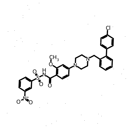 COc1cc(N2CCN(Cc3ccccc3-c3ccc(Cl)cc3)CC2)ccc1C(=O)NS(=O)(=O)c1cccc([N+](=O)[O-])c1